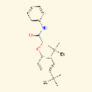 CCC(C)(C)c1ccc(OCC(=O)Nc2[c]cccc2)c(C(C)(C)CC)c1